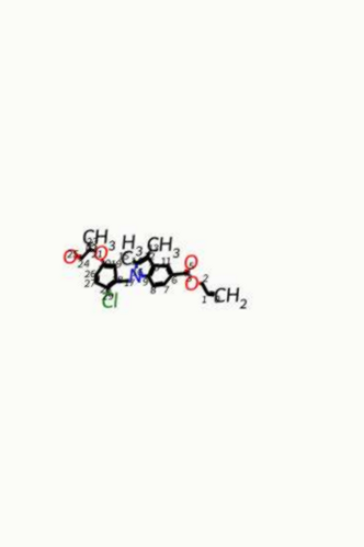 C=CCOC(=O)c1ccc2c(c1)c(C)c(C)n2Cc1cc(O[C@@H](C)C=O)ccc1Cl